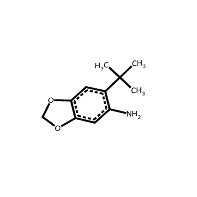 CC(C)(C)c1cc2c(cc1N)OCO2